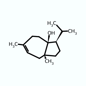 CC1=CC[C@@]2(C)CC[C@H](C(C)C)[C@@]2(O)CC1